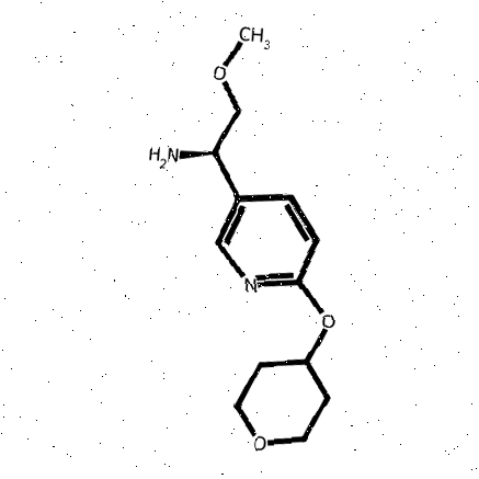 COC[C@H](N)c1ccc(OC2CCOCC2)nc1